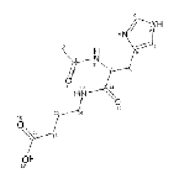 CC(=O)NC(Cc1c[nH]cn1)C(=O)NCCCC(=O)O